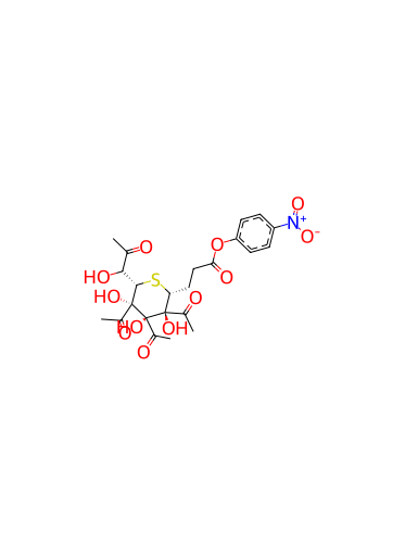 CC(=O)C(O)[C@@H]1S[C@H](CCC(=O)Oc2ccc([N+](=O)[O-])cc2)[C@](O)(C(C)=O)[C@](O)(C(C)=O)[C@@]1(O)C(C)=O